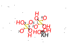 O=S(=O)(O)O.O=S(=O)(O)O.OO.[KH]